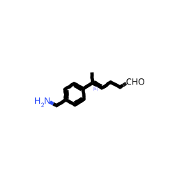 C/C(=C\CCC=O)c1ccc(CN)cc1